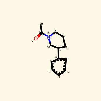 CC(=O)N1CCCC(c2ccccc2)C1